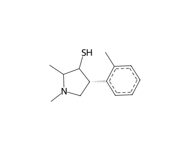 Cc1ccccc1[C@@H]1CN(C)C(C)C1S